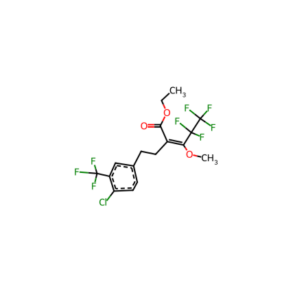 CCOC(=O)C(CCc1ccc(Cl)c(C(F)(F)F)c1)=C(OC)C(F)(F)C(F)(F)F